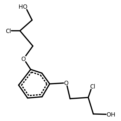 OCC(Cl)COc1cccc(OCC(Cl)CO)c1